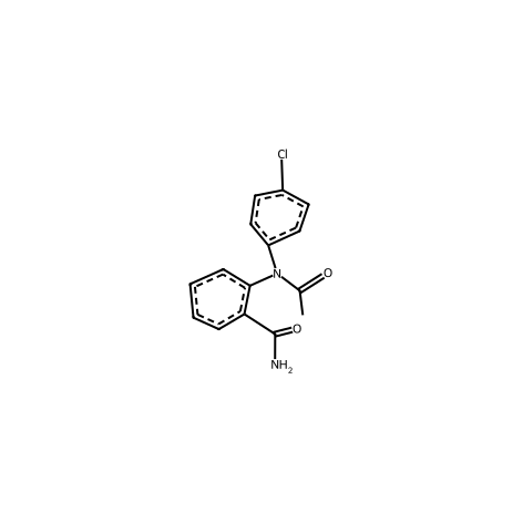 CC(=O)N(c1ccc(Cl)cc1)c1ccccc1C(N)=O